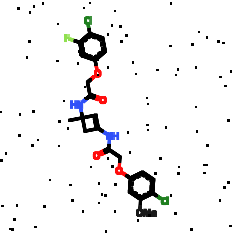 COc1cc(OCC(=O)NC2=CC(C)(NC(=O)COc3ccc(Cl)c(F)c3)C2)ccc1Cl